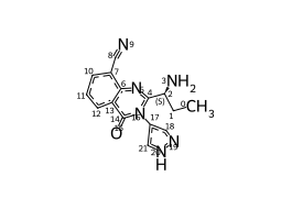 CC[C@H](N)c1nc2c(C#N)cccc2c(=O)n1-c1cn[nH]c1